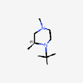 C[C@H]1CN(C)CCN1C(C)(C)C